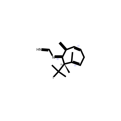 C=C1/C=C\C/C=C(\C)[C@](C)(C(C)(C)I)/C1=N/C=N